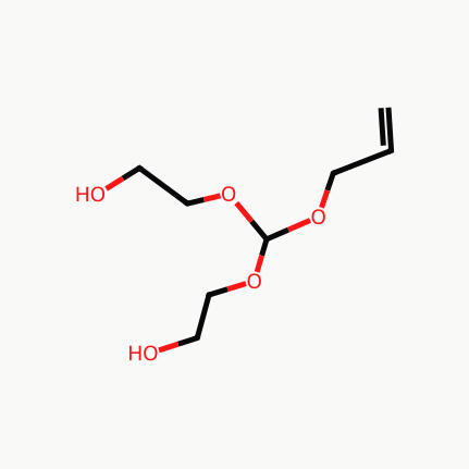 C=CCOC(OCCO)OCCO